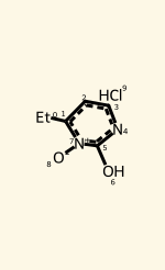 CCc1ccnc(O)[n+]1[O-].Cl